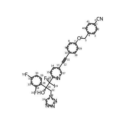 N#Cc1ccc(COc2ccc(C#Cc3ccc(C(F)(I)C(O)(Cn4cnnn4)c4ccc(F)cc4F)nc3)cc2)cc1